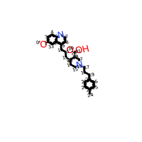 COc1ccc2nccc(CCC[C@@H]3CCN(CCCc4ccc(C)cc4)C[C@@H]3C(=O)O)c2c1